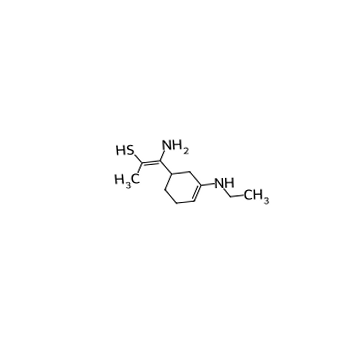 CCNC1=CCCC(/C(N)=C(\C)S)C1